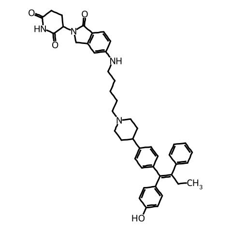 CCC(=C(c1ccc(O)cc1)c1ccc(C2CCN(CCCCCNc3ccc4c(c3)CN(C3CCC(=O)NC3=O)C4=O)CC2)cc1)c1ccccc1